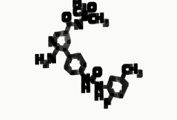 Cc1ccc(F)c(NC(=O)Nc2ccc(-c3cc(C(=O)N=S(C)(C)=O)cnc3N)cc2)c1